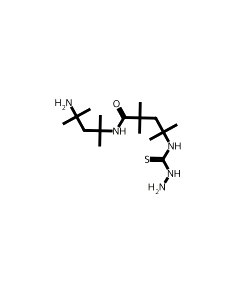 CC(C)(N)CC(C)(C)NC(=O)C(C)(C)CC(C)(C)NC(=S)NN